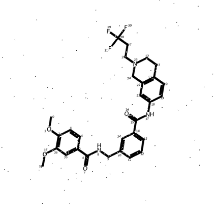 COc1ccc(C(=O)NCc2cccc(C(=O)Nc3ccc4c(c3)CN(CCC(F)(F)F)CC4)c2)cc1OC